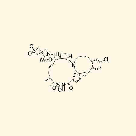 CO[C@@]1(CN2CC3(C2)CS(=O)(=O)C3)/C=C/C[C@H](C)[C@@H](C)S(=O)(=O)NC(=O)c2ccc3c(c2)N(CCCCc2cc(Cl)ccc2CO3)C[C@@H]2CC[C@H]21